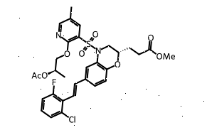 COC(=O)CC[C@H]1CN(S(=O)(=O)c2cc(C)cnc2OC[C@@H](C)OC(C)=O)c2cc(/C=C/c3c(F)cccc3Cl)ccc2O1